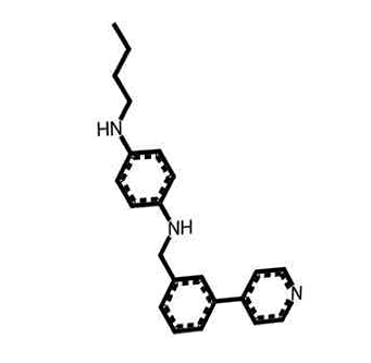 CCCCNc1ccc(NCc2cccc(-c3ccncc3)c2)cc1